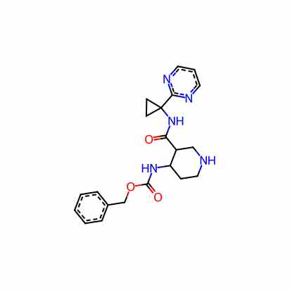 O=C(NC1CCNCC1C(=O)NC1(c2ncccn2)CC1)OCc1ccccc1